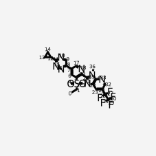 CCS(=O)(=O)c1cc(-c2cnc(C3CC3)nn2)cnc1-c1nc2cc(C(F)(F)C(F)(F)F)cnc2n1C